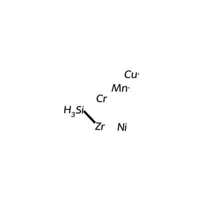 [Cr].[Cu].[Mn].[Ni].[SiH3][Zr]